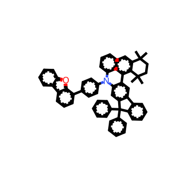 CC1(C)CCC(C)(C)c2c(-c3cc4c(cc3N(c3ccccc3)c3ccc(-c5cccc6c5oc5ccccc56)cc3)C(c3ccccc3)(c3ccccc3)c3ccccc3-4)cccc21